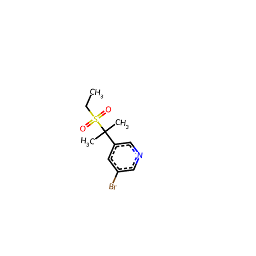 CCS(=O)(=O)C(C)(C)c1cncc(Br)c1